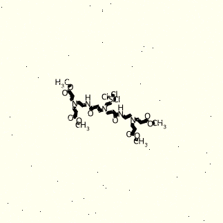 COC(=O)CCN(CCNC(=O)CCN(CCC(=O)NCCN(CCC(=O)OC)CCC(=O)OC)CC[Si](Cl)(Cl)Cl)CCC(=O)OC